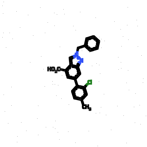 Cc1ccc(-c2cc(C(=O)O)c3cn(Cc4ccccc4)nc3c2)c(Cl)c1